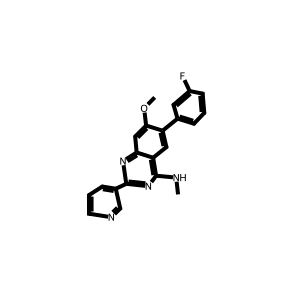 CNc1nc(-c2cccnc2)nc2cc(OC)c(-c3cccc(F)c3)cc12